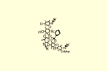 CCC1O[C@H](O[C@@H]2C(C)O[C@H](O[C@@H]3C(CC)O[C@H](OC)[C@@H](N=[N+]=[N-])C3C)[C@@H](OC(=O)c3ccccc3)C2C)[C@@H](N=[N+]=[N-])C(C)[C@@H]1O[C@@H]1O[C@@H](C(C)=O)[C@@H](O[C@H]2O[C@@H](CC)[C@@H](C)C(C)[C@@H]2N=[N+]=[N-])C(C)[C@@H]1O